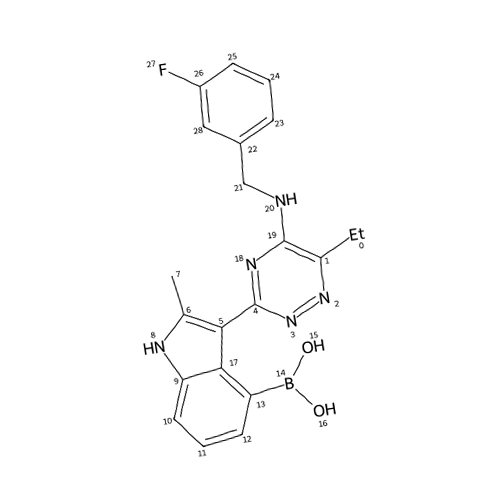 CCc1nnc(-c2c(C)[nH]c3cccc(B(O)O)c23)nc1NCc1cccc(F)c1